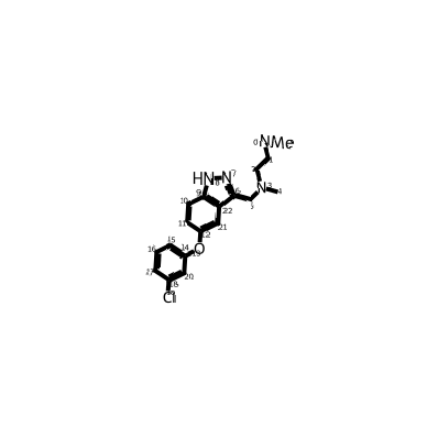 CNCCN(C)Cc1n[nH]c2ccc(Oc3cccc(Cl)c3)cc12